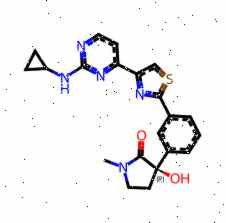 CN1CC[C@@](O)(c2cccc(-c3nc(-c4ccnc(NC5CC5)n4)cs3)c2)C1=O